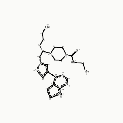 CC(C)(C)CNC(=O)N1CCN([C@@H](CCCC#N)Cn2cc(-c3ncnc4[nH]ccc34)cn2)CC1